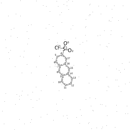 O=S(=O)(Cl)c1ccc2cc3ccccc3cc2c1